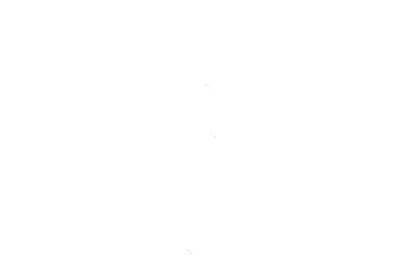 NC(=O)c1ccc2sc(N3CCS(=O)(=O)CC3)nc2c1